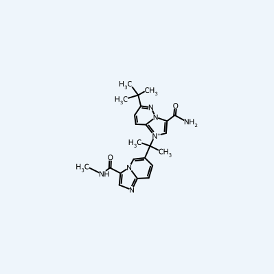 CNC(=O)c1cnc2ccc(C(C)(C)[n+]3cc(C(N)=O)n4nc(C(C)(C)C)ccc43)cn12